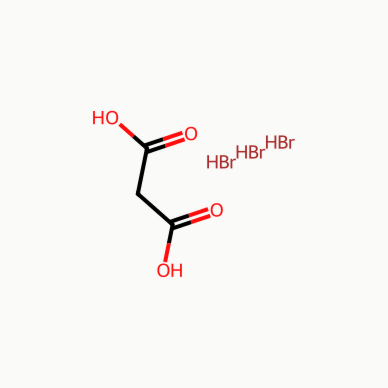 Br.Br.Br.O=C(O)CC(=O)O